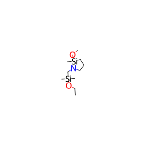 CCO[Si](C)(C)CN1CCC[Si]1(C)OC